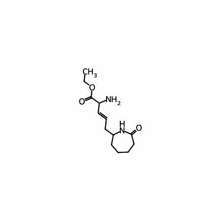 CCOC(=O)C(N)C=CCC1CCCCC(=O)N1